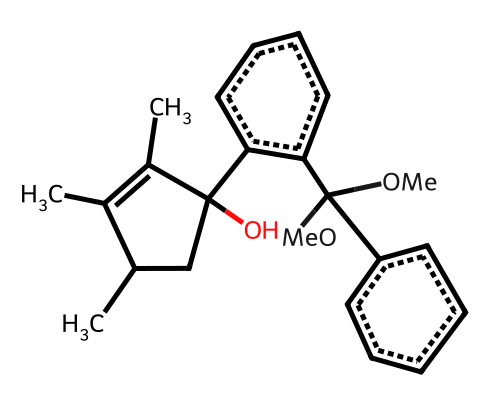 COC(OC)(c1ccccc1)c1ccccc1C1(O)CC(C)C(C)=C1C